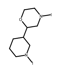 IN1CCCC(C2CN(I)CCO2)C1